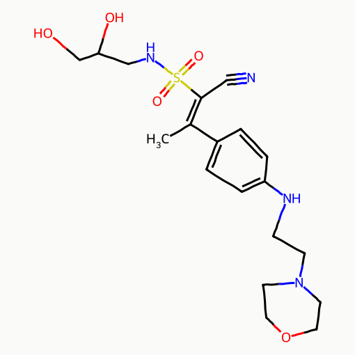 C/C(=C(/C#N)S(=O)(=O)NCC(O)CO)c1ccc(NCCN2CCOCC2)cc1